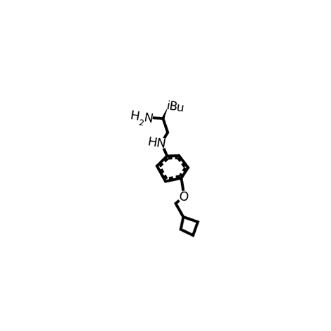 CC[C@H](C)C(N)CNc1ccc(OCC2CCC2)cc1